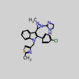 Cc1nc(Cn2c(-c3ccc(Cl)cc3)c(C3N(C)N3C3=NCCN3)c3ccccc32)cs1